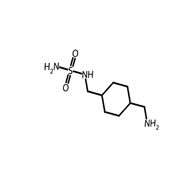 NCC1CCC(CNS(N)(=O)=O)CC1